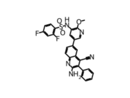 COc1ncc(-c2ccc3nc(N)c(-c4ccccc4)c(C#N)c3c2)cc1NS(=O)(=O)c1ccc(F)cc1F